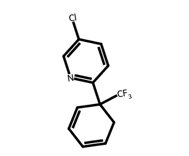 FC(F)(F)C1(c2ccc(Cl)cn2)C=CC=CC1